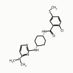 CSc1ccc(Cl)c(C(=O)N[C@H]2CC[C@@H](Nc3nccc(N(C)C)n3)CC2)c1